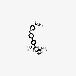 CC1(C)Oc2ncnc(N)c2N=C1c1ccc(C2CCC(CN3CCN(C(N)=O)CC3)CC2)cc1